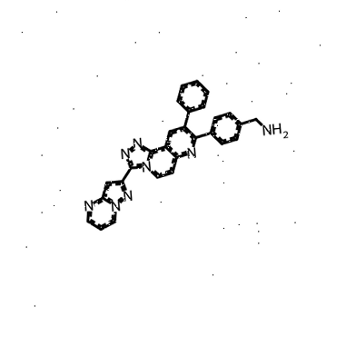 NCc1ccc(-c2nc3ccn4c(-c5cc6ncccn6n5)nnc4c3cc2-c2ccccc2)cc1